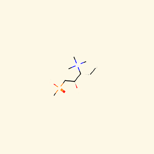 CC(C)C[C@H]([C@@H](O)CP(C)(=O)O)[N+](C)(C)C